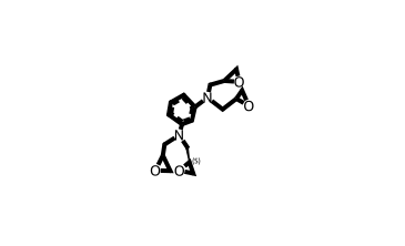 c1cc(N(CC2CO2)CC2CO2)cc(N(CC2CO2)C[C@H]2CO2)c1